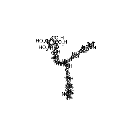 N#C[C@@H]1CC(F)(F)CN1C(=O)CNC(=O)c1ccnc2c(OCCCNC(=O)CCOCCOCCNc3nc(NCCCn4nnc5c4CC[C@H]4[C@@H](CC5)[C@H]4COC(=O)NCCNC(=O)CCC(C(=O)O)N4CCN(CC(=O)O)CCN(CC(=O)O)CCN(CC(=O)O)CC4)nc(NCCOCCOCCC(=O)NCCCOc4cccc5c(C(=O)NCC(=O)N6CC(F)(F)C[C@H]6C#N)ccnc45)n3)cccc12